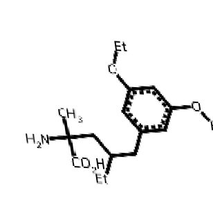 CCOc1cc(CC(CC)CC(C)(N)C(=O)O)cc(OCC)c1